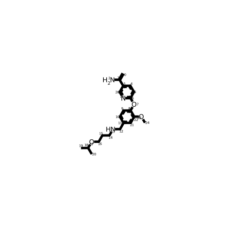 C=C(N)c1ccc(Oc2ccc(CNCCCOC(C)C)cc2OC)nc1